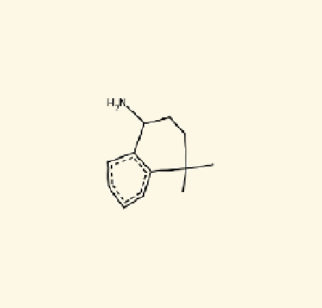 CC1(C)CCC(N)c2ccccc21